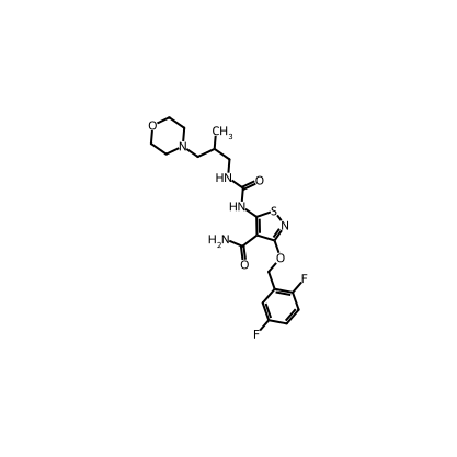 CC(CNC(=O)Nc1snc(OCc2cc(F)ccc2F)c1C(N)=O)CN1CCOCC1